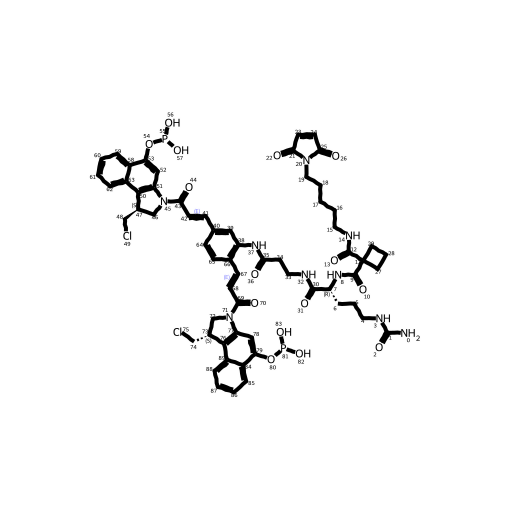 NC(=O)NCCC[C@@H](NC(=O)C1(C(=O)NCCCCCN2C(=O)C=CC2=O)CCC1)C(=O)NCCC(=O)Nc1cc(/C=C/C(=O)N2C[C@@H](CCl)c3c2cc(OP(O)O)c2ccccc32)ccc1/C=C/C(=O)N1C[C@@H](CCl)c2c1cc(OP(O)O)c1ccccc21